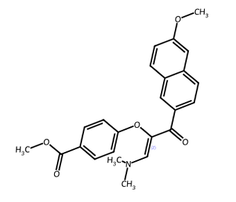 COC(=O)c1ccc(O/C(=C\N(C)C)C(=O)c2ccc3cc(OC)ccc3c2)cc1